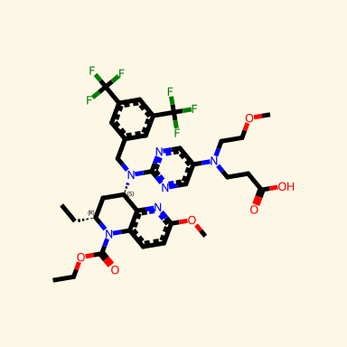 CCOC(=O)N1c2ccc(OC)nc2[C@@H](N(Cc2cc(C(F)(F)F)cc(C(F)(F)F)c2)c2ncc(N(CCOC)CCC(=O)O)cn2)C[C@H]1CC